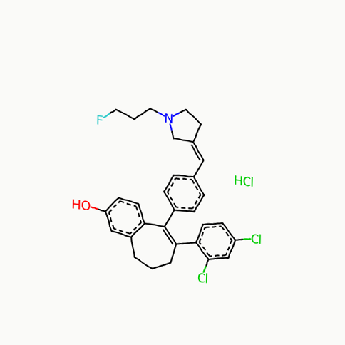 Cl.Oc1ccc2c(c1)CCCC(c1ccc(Cl)cc1Cl)=C2c1ccc(C=C2CCN(CCCF)C2)cc1